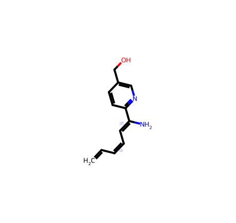 C=C/C=C\C=C(/N)c1ccc(CO)cn1